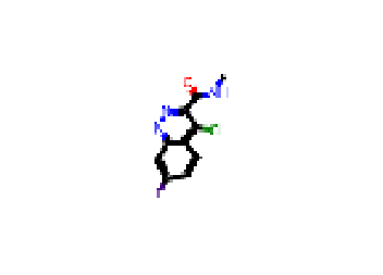 CNC(=O)c1nnc2cc(I)ccc2c1Cl